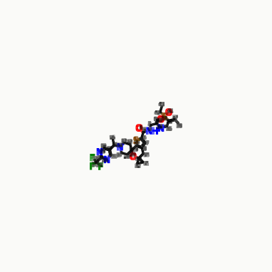 C=C(CNC(=O)c1cc2c(s1)C1(CCN(C(C)c3cnc(C(F)(F)F)nc3)CC1)OC1(CC1)C2)/N=C\C(=C/C)S(=O)(=O)CC